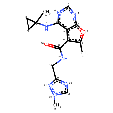 Cc1oc2ncnc(NC3(C)CC3)c2c1C(=O)NCc1ncn(C)n1